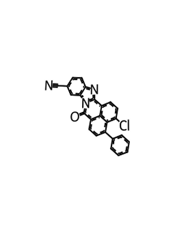 N#Cc1ccc2nc3c4ccc(Cl)c5c(-c6ccccc6)ccc(c(=O)n3c2c1)c54